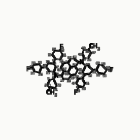 Cc1ccc(N(c2cc(-c3ccc(F)cc3)cc(-c3ccc(F)cc3)c2)c2ccc3ccc4c(N(c5ccc(C)cc5)c5cc(-c6ccc(F)cc6)cc(-c6ccc(F)cc6)c5)ccc5ccc2c3c54)cc1